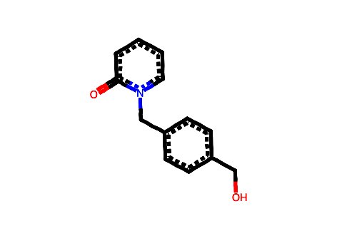 O=c1ccccn1Cc1ccc(CO)cc1